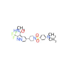 CNC(=O)c1c(C(F)(F)F)nn2ccc(C3CCN(S(=O)(=O)c4ccc(N(C)C)cc4)CC3)cc12